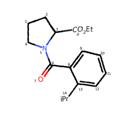 CCOC(=O)C1CCCN1C(=O)c1ccccc1C(C)C